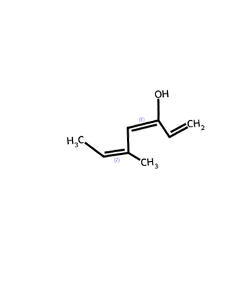 C=C/C(O)=C\C(C)=C/C